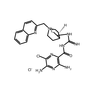 N=C(NC(=O)c1nc(Cl)c(N)nc1N)N[C@@H]1C[N+]2(Cc3ccc4ccccc4n3)CCC1CC2.[Cl-]